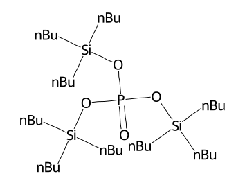 CCCC[Si](CCCC)(CCCC)OP(=O)(O[Si](CCCC)(CCCC)CCCC)O[Si](CCCC)(CCCC)CCCC